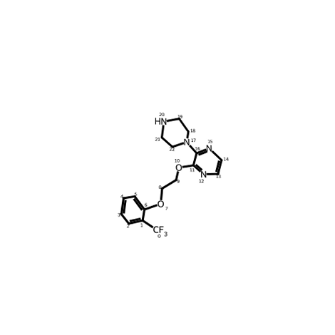 FC(F)(F)c1ccccc1OCCOc1nccnc1N1CCNCC1